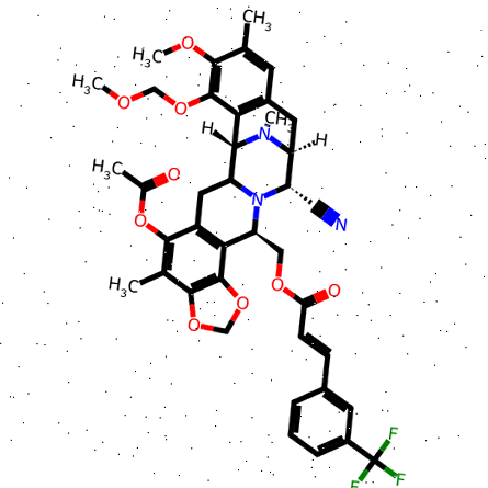 COCOc1c(OC)c(C)cc2c1[C@H]1C3Cc4c(OC(C)=O)c(C)c5c(c4[C@H](COC(=O)/C=C/c4cccc(C(F)(F)F)c4)N3[C@@H](C#N)[C@H](C2)N1C)OCO5